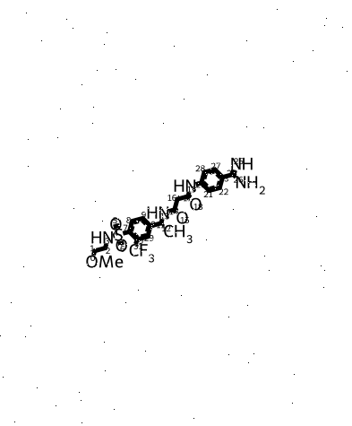 COCCNS(=O)(=O)c1ccc([C@H](C)NC(=O)CC(=O)Nc2ccc(C(=N)N)cc2)cc1C(F)(F)F